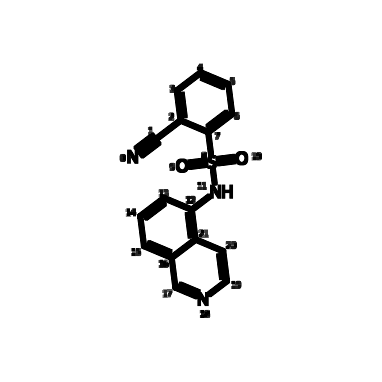 N#Cc1ccccc1S(=O)(=O)Nc1cccc2cnccc12